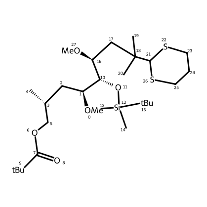 CO[C@@H](C[C@@H](C)COC(=O)C(C)(C)C)[C@@H](O[Si](C)(C)C(C)(C)C)[C@H](CC(C)(C)C1SCCCS1)OC